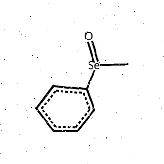 C[Se](=O)c1ccccc1